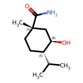 CC(C)[C@@H]1CC[C@](C)(C(N)=O)C[C@H]1O